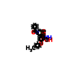 Cc1ccc(Oc2ccc(C3(CC(=O)NO)CCN(C(=O)c4ccccc4)CCS3(=O)=O)cc2)cc1